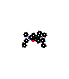 c1ccc(N(c2ccc(C3CCCCC3)cc2)c2ccc3c4c(ccc3c2)-c2c(cc(N(c3ccccc3)c3ccc(C5CCCCC5)cc3)c3ccccc23)C42c3ccccc3-c3ccccc32)cc1